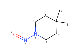 CC1(C)CCN(N=O)CC1